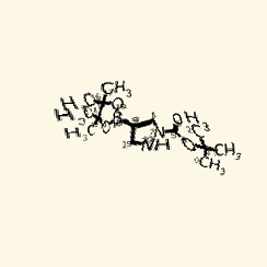 CC(C)(C)OC(=O)N1C=C(B2OC(C)(C)C(C)(C)O2)CN1